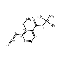 CC(C)(C)OC(=O)c1cccc(N=C=S)c1CN